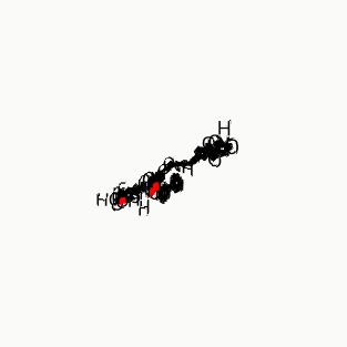 CC(C)(C)[C@H](NC(=O)c1cc2cc(C(F)(F)P(=O)(O)O)ccc2s1)C(=O)N1C[C@@H](OCC(=O)NCCCCC#Cc2ccc3c(c2)C(=O)N(C2CCC(=O)NC2=O)C3=O)C[C@H]1C(=O)N1CCCC(c2ccccc2)C1